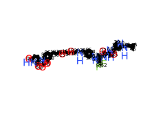 O=C1CCC(n2c(=O)oc3cc(CCCOCCOCCNCc4ccc(-n5cc(NC(=O)c6coc(-c7ccnc(NCC8CC8)c7)n6)c(C(F)F)n5)cc4)ccc32)C(=O)N1